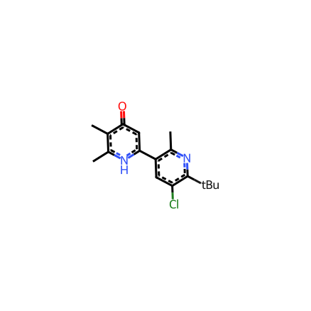 Cc1nc(C(C)(C)C)c(Cl)cc1-c1cc(=O)c(C)c(C)[nH]1